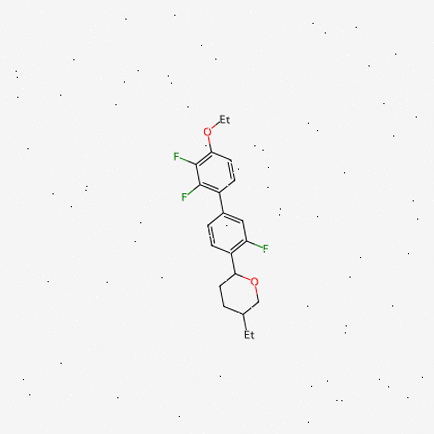 CCOc1ccc(-c2ccc(C3CCC(CC)CO3)c(F)c2)c(F)c1F